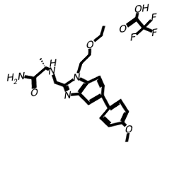 CCOCCn1c(CN[C@@H](C)C(N)=O)nc2cc(-c3ccc(OC)cc3)ccc21.O=C(O)C(F)(F)F